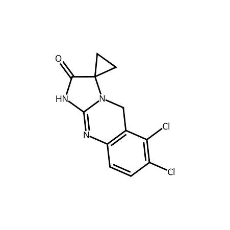 O=C1NC2=Nc3ccc(Cl)c(Cl)c3CN2C12CC2